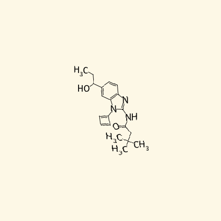 CCC(O)c1ccc2nc(NC(=O)CC(C)(C)C)n(C3=CC=C3)c2c1